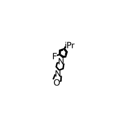 CC(C)c1ccc(N2CCC(N3CCOCC3)CC2)c(F)c1